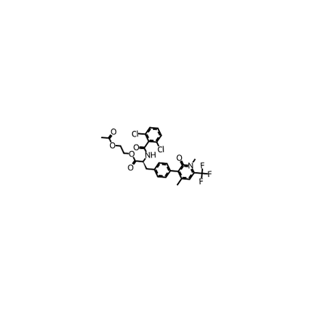 CC(=O)OCCOC(=O)[C@H](Cc1ccc(-c2c(C)cc(C(F)(F)F)n(C)c2=O)cc1)NC(=O)c1c(Cl)cccc1Cl